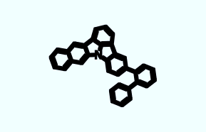 c1ccc(-c2ccccc2-c2ccc3c(c2)c2cccc4c5cc6ccccc6cc5n3c24)cc1